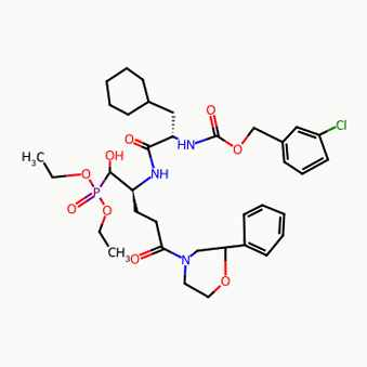 CCOP(=O)(OCC)C(O)[C@H](CCC(=O)N1CCOC(c2ccccc2)C1)NC(=O)[C@H](CC1CCCCC1)NC(=O)OCc1cccc(Cl)c1